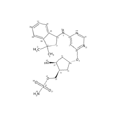 CC1(C)CC(Nc2cc(O[C@@H]3C[C@@H](COS(N)(=O)=O)[C@@H](O)C3)ncn2)c2ccccc21